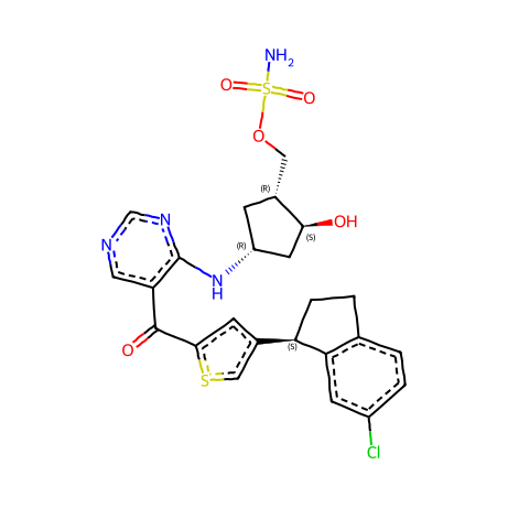 NS(=O)(=O)OC[C@H]1C[C@@H](Nc2ncncc2C(=O)c2cc([C@H]3CCc4ccc(Cl)cc43)cs2)C[C@@H]1O